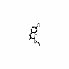 CCOC(=O)/C(C)=C\c1ccc(Cl)cc1